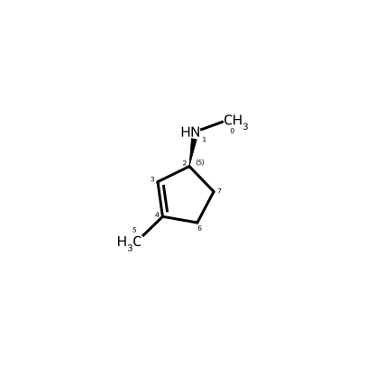 CN[C@@H]1C=C(C)CC1